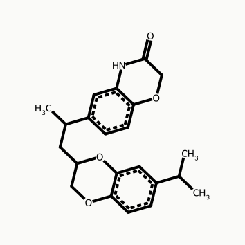 CC(C)c1ccc2c(c1)OC(CC(C)c1ccc3c(c1)NC(=O)CO3)CO2